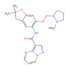 CC1(C)Cc2cc(NC(=O)c3cnn4cccnc34)c(OCC3CCCN3C(=O)O)cc2O1